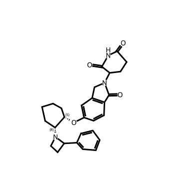 O=C1CCC(N2Cc3cc(O[C@H]4CCCC[C@H]4N4CCC4c4ccccc4)ccc3C2=O)C(=O)N1